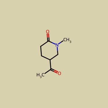 CC(=O)C1CCC(=O)N(C)C1